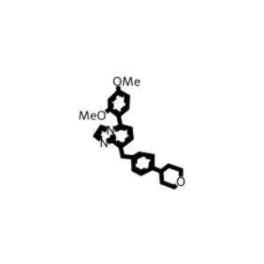 COc1ccc(-c2ccc(Cc3ccc(C4CCOCC4)cc3)c3nccn23)c(OC)c1